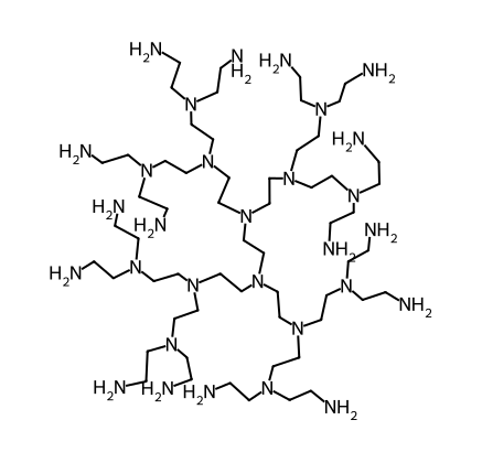 NCCN(CCN)CCN(CCN(CCN)CCN)CCN(CCN(CCN(CCN)CCN)CCN(CCN)CCN)CCN(CCN(CCN(CCN)CCN)CCN(CCN)CCN)CCN(CCN(CCN)CCN)CCN(CCN)CCN